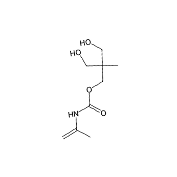 C=C(C)NC(=O)OCC(C)(CO)CO